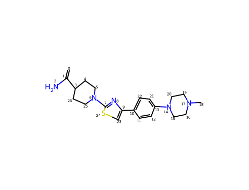 C=C(N)C1CCN(c2nc(-c3ccc(N4CCN(C)CC4)cc3)cs2)CC1